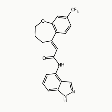 O=C(/C=C1\CCCOc2cc(C(F)(F)F)ccc21)Nc1cccc2[nH]ncc12